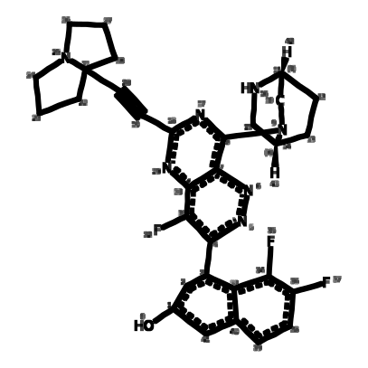 Oc1cc(-c2nnc3c(N4C[C@H]5CC[C@@H]4CN5)nc(C#CC45CCCN4CCC5)nc3c2F)c2c(F)c(F)ccc2c1